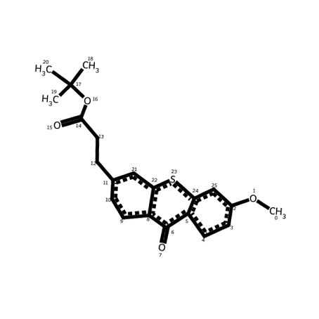 COc1ccc2c(=O)c3ccc(CCC(=O)OC(C)(C)C)cc3sc2c1